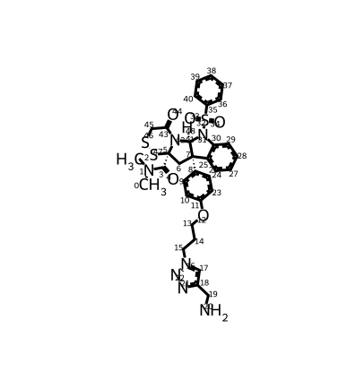 CN(C)C(=O)[C@@]12C[C@]3(c4ccc(OCCCn5cc(CN)nn5)cc4)c4ccccc4N(S(=O)(=O)c4ccccc4)[C@@H]3N1C(=O)CSS2